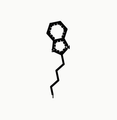 ICCCCc1nc2ccccc2s1